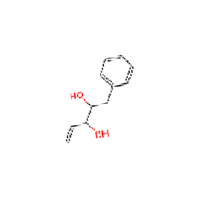 C=CC(O)C(O)Cc1ccccc1